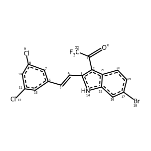 O=C(c1c(C=Cc2cc(Cl)cc(Cl)c2)[nH]c2cc(Br)ccc12)C(F)(F)F